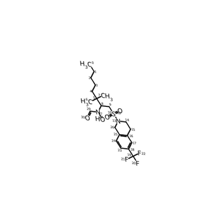 CCCCCC(C)(C)C(CS(=O)(=O)N1CCc2cc(C(F)(F)F)ccc2C1)N(O)C=O